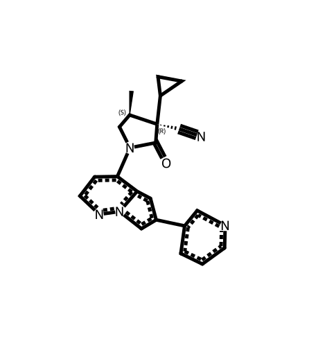 C[C@@H]1CN(c2ccnn3cc(-c4cccnc4)cc23)C(=O)[C@]1(C#N)C1CC1